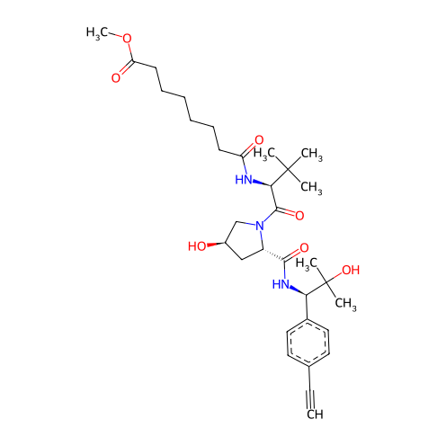 C#Cc1ccc([C@@H](NC(=O)[C@@H]2C[C@@H](O)CN2C(=O)[C@@H](NC(=O)CCCCCCC(=O)OC)C(C)(C)C)C(C)(C)O)cc1